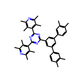 Cc1ccc(-c2cc(-c3ccc(C)c(C)c3)cc(-c3nc(-c4c(C)c(C)nc(C)c4C)nc(-c4c(C)c(C)nc(C)c4C)n3)c2)cc1C